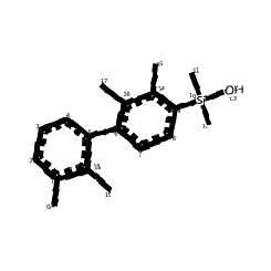 Cc1cccc(-c2ccc([Si](C)(C)O)c(C)c2C)c1C